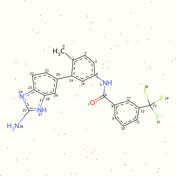 Cc1ccc(NC(=O)c2cccc(C(F)(F)F)c2)cc1-c1ccc2nc(N)[nH]c2c1